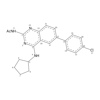 CC(=O)Nc1nc(NC2CCCC2)c2cc(-c3ccc(Cl)cc3)ccc2n1